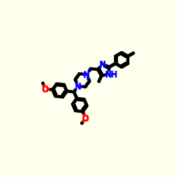 COc1ccc(C(c2ccc(OC)cc2)N2CCN(Cc3nc(-c4ccc(C)cc4)[nH]c3C)CC2)cc1